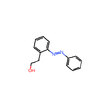 OCCc1ccccc1N=Nc1ccccc1